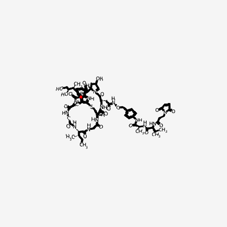 CC[C@H](C)[C@@H]1NC(=O)CNC(=O)C2Cc3c([nH]c4ccccc34)SC[C@@H](NC(=O)CNC1=O)C(=O)N[C@@H](CC(=O)NOCc1ccc(NC(=O)[C@H](C)NC(=O)C(NC(=O)CCN3C(=O)C=CC3=O)C(C)C)cc1)C(=O)N1CC(O)C[C@H]1C(=O)N[C@@H]([C@@H](C)[C@@H](O)CO)C(=O)N2